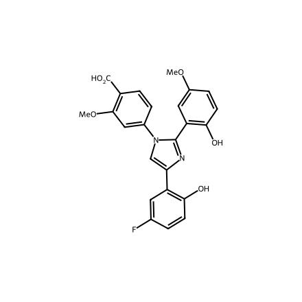 COc1ccc(O)c(-c2nc(-c3cc(F)ccc3O)cn2-c2ccc(C(=O)O)c(OC)c2)c1